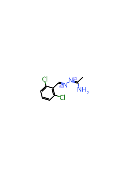 C/C(N)=N/N=C/c1c(Cl)cccc1Cl